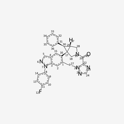 Cc1cc2c(cnn2-c2ccc(F)cc2)cc1[C@]12CN(C(=O)c3ncnn3C)C[C@H]1[C@@H]2c1ccccc1